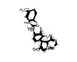 Cc1ccc(F)c(NC(=O)Nc2ccc(-c3c(C=O)cn4ncnc(N)c34)cc2F)c1